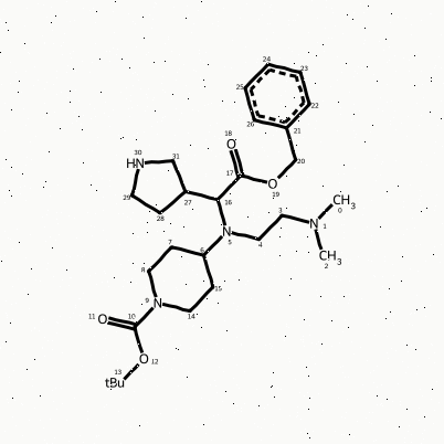 CN(C)CCN(C1CCN(C(=O)OC(C)(C)C)CC1)C(C(=O)OCc1ccccc1)C1CCNC1